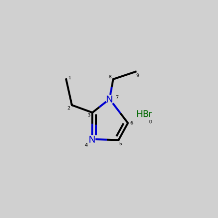 Br.CCc1nccn1CC